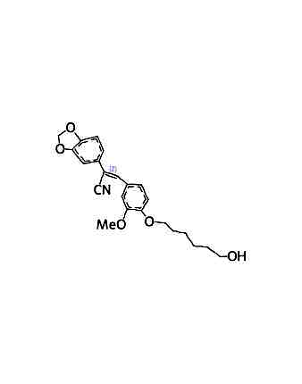 COc1cc(/C=C(\C#N)c2ccc3c(c2)OCO3)ccc1OCCCCCCO